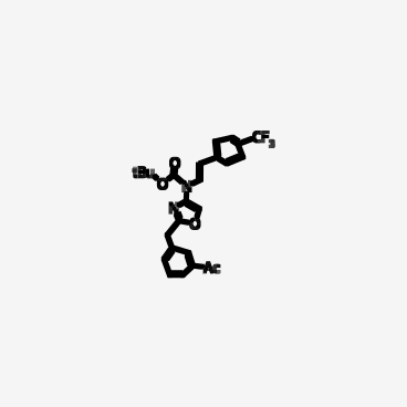 CC(=O)c1cccc(Cc2nc(N(C=Cc3ccc(C(F)(F)F)cc3)C(=O)OC(C)(C)C)co2)c1